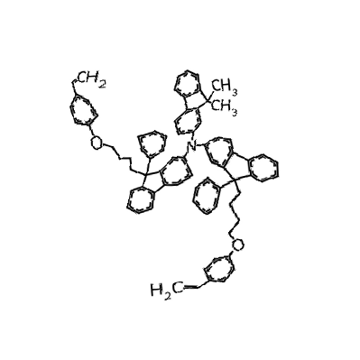 C=Cc1ccc(OCCCCC2(c3ccccc3)c3ccccc3-c3ccc(N(c4ccc5c(c4)C(C)(C)c4ccccc4-5)c4ccc5c(c4)C(CCCCOc4ccc(C=C)cc4)(c4ccccc4)c4ccccc4-5)cc32)cc1